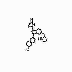 COc1ccc2cc(-c3nn(-c4nc[nH]n4)c4ccc(CC5CCCN5)cc34)ccc2c1